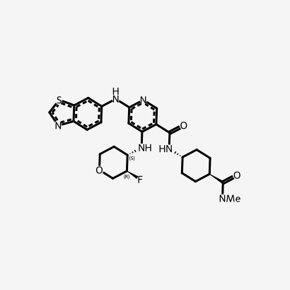 CNC(=O)[C@H]1CC[C@H](NC(=O)c2cnc(Nc3ccc4ncsc4c3)cc2N[C@H]2CCOC[C@@H]2F)CC1